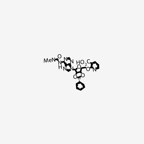 CNC(=O)Nc1ncnc2c1ncn2C1OC(COc2ncccc2C(=O)O)C2O[C@H](c3ccccc3)OC21